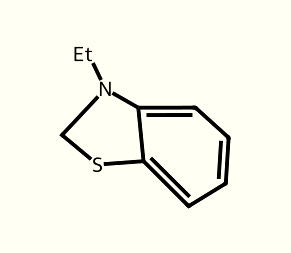 [CH2]CN1CSc2ccccc21